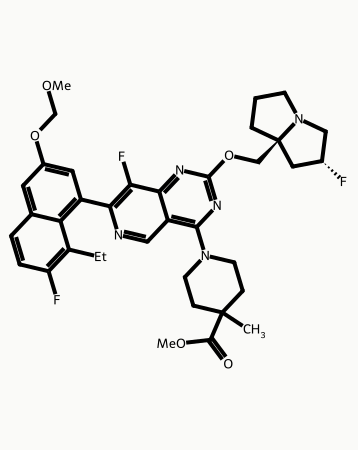 CCc1c(F)ccc2cc(OCOC)cc(-c3ncc4c(N5CCC(C)(C(=O)OC)CC5)nc(OC[C@@]56CCCN5C[C@H](F)C6)nc4c3F)c12